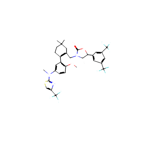 COc1ccc(N(C)c2nc(C(F)(F)F)cs2)cc1C1=C(CN2C(=O)OC(c3cc(C(F)(F)F)cc(C(F)(F)F)c3)[C@@H]2C)CC(C)(C)CC1